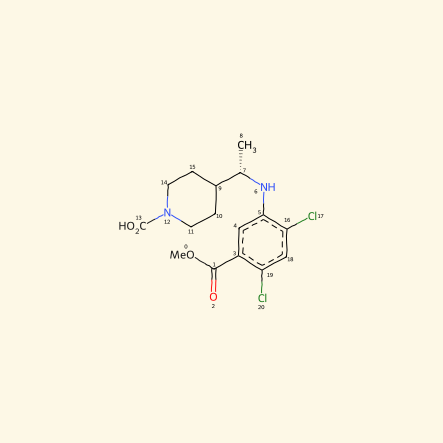 COC(=O)c1cc(N[C@@H](C)C2CCN(C(=O)O)CC2)c(Cl)cc1Cl